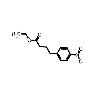 [CH2]COC(=O)CCCc1ccc([N+](=O)[O-])cc1